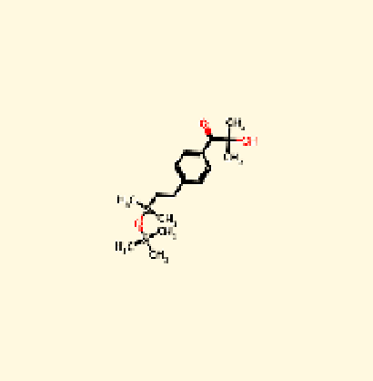 CC(C)(O)C(=O)c1ccc(CC[Si](C)(C)O[Si](C)(C)C)cc1